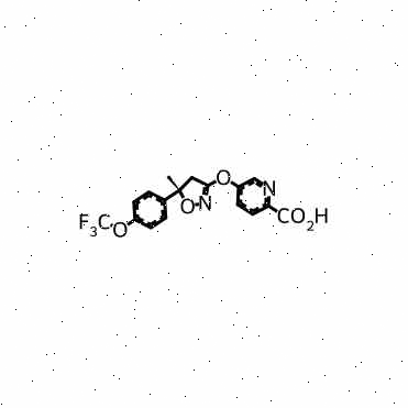 C[C@@]1(c2ccc(OC(F)(F)F)cc2)CC(Oc2ccc(C(=O)O)nc2)=NO1